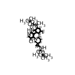 CN(C(=O)OC(C)(C)C)c1cc(F)c(F)c2c1[nH]c1ncc(Cl)c(N3CCCC4(CC4NC(=O)OC(C)(C)C)C3)c12